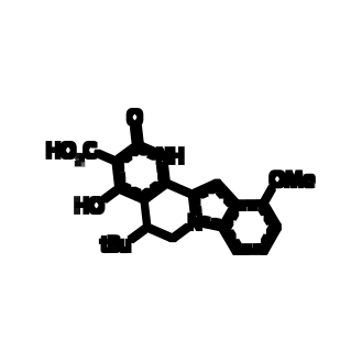 COc1cccc2c1cc1n2CC(C(C)(C)C)c2c-1[nH]c(=O)c(C(=O)O)c2O